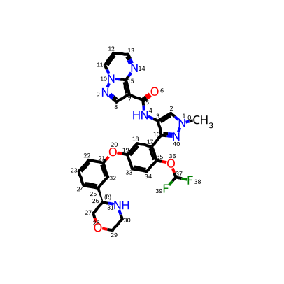 Cn1cc(NC(=O)c2cnn3cccnc23)c(-c2cc(Oc3cccc([C@@H]4COCCN4)c3)ccc2OC(F)F)n1